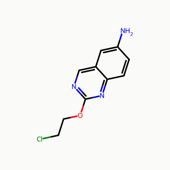 Nc1ccc2nc(OCCCl)ncc2c1